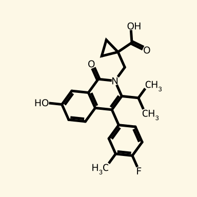 Cc1cc(-c2c(C(C)C)n(CC3(C(=O)O)CC3)c(=O)c3cc(O)ccc23)ccc1F